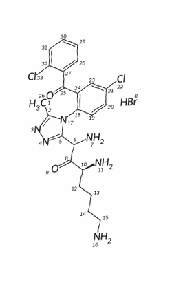 Br.Cc1nnc(C(N)C(=O)[C@@H](N)CCCCN)n1-c1ccc(Cl)cc1C(=O)c1ccccc1Cl